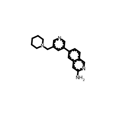 Nc1cc2cc(-c3cncc(CN4CCCCC4)c3)ccc2cn1